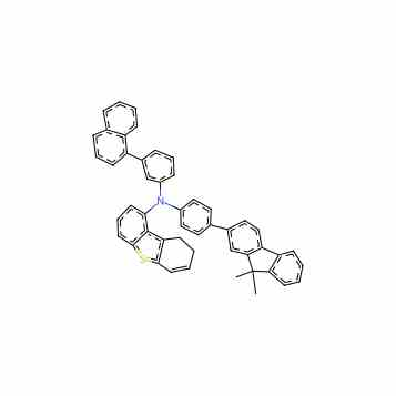 CC1(C)c2ccccc2-c2ccc(-c3ccc(N(c4cccc(-c5cccc6ccccc56)c4)c4cccc5sc6c(c45)CCC=C6)cc3)cc21